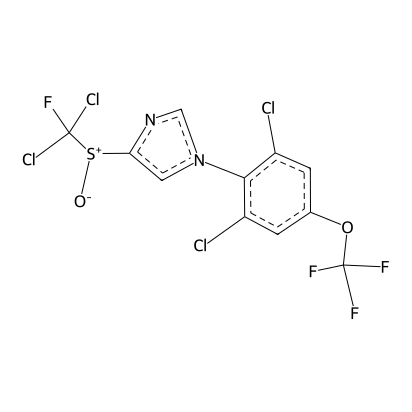 [O-][S+](c1cn(-c2c(Cl)cc(OC(F)(F)F)cc2Cl)cn1)C(F)(Cl)Cl